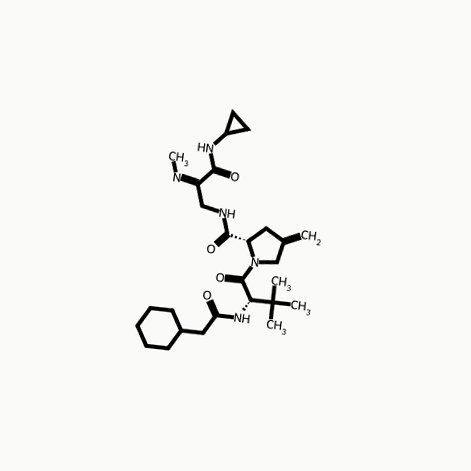 C=C1C[C@@H](C(=O)NC/C(=N/C)C(=O)NC2CC2)N(C(=O)[C@@H](NC(=O)CC2CCCCC2)C(C)(C)C)C1